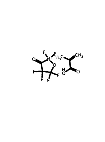 C=C(C)C(=O)O.O=C1C(F)(F)C(F)(F)O[N+]1(F)F